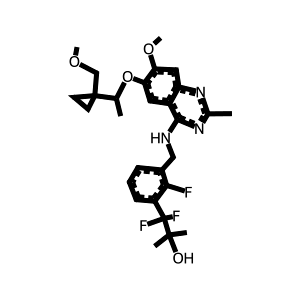 COCC1(C(C)Oc2cc3c(NCc4cccc(C(F)(F)C(C)(C)O)c4F)nc(C)nc3cc2OC)CC1